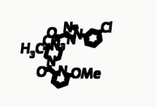 COc1cccc(C(=O)N2CCN(C(=O)c3ncn(-c4cccc(Cl)c4)n3)C(C)(C)C2)n1